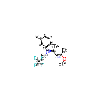 CCO/C(=C/c1[te]c2ccc(C)cc2[n+]1CC)CC.F[B-](F)(F)F